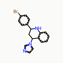 Brc1ccc(C2CC(n3ccnc3)c3ccccc3N2)cc1